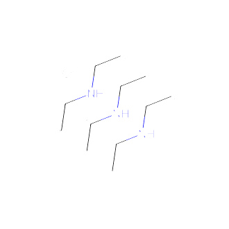 CCNCC.CCNCC.CCNCC.[Cr]